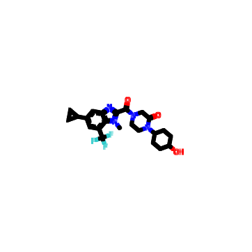 Cn1c(C(=O)N2CCN(C3CCC(O)CC3)C(=O)C2)nc2cc(C3CC3)cc(C(F)(F)F)c21